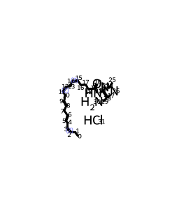 CC/C=C\CC=CCC=CC/C=C\C/C=C\CCCC(=O)Nc1nc(C)ncc1CN.Cl